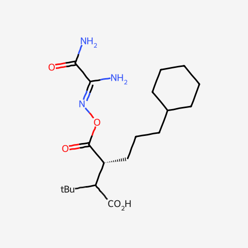 CC(C)(C)C(C(=O)O)[C@@H](CCCC1CCCCC1)C(=O)ON=C(N)C(N)=O